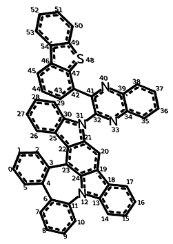 c1ccc2c(c1)-c1ccccc1-n1c3ccccc3c3cc4c(c-2c31)c1ccccc1n4-c1nc2ccccc2nc1-c1cccc2c1sc1ccccc12